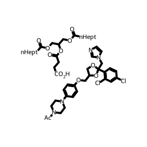 CC(=O)N1CCN(c2ccc(OCC3COC(Cn4ccnc4)(c4ccc(Cl)cc4Cl)O3)cc2)CC1.CCCCCCCC(=O)OCC(COC(=O)CCCCCCC)OC(=O)CCC(=O)O